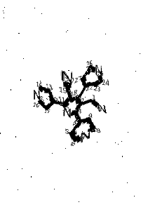 N#Cc1c(-c2ccncc2)nc(-c2ccncc2)c(C#N)c1-c1ccncc1